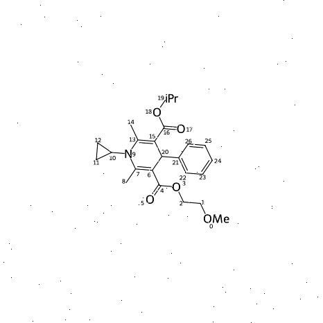 COCCOC(=O)C1=C(C)N(C2CC2)C(C)=C(C(=O)OC(C)C)C1c1ccccc1